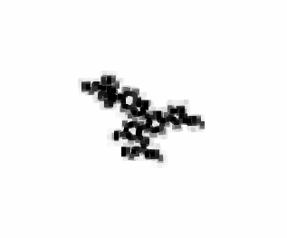 CC(C)Oc1cc(F)ccc1-c1ccc(-c2cnn(C)c2)nc1-c1cc2n(n1)CCN(C(=O)OC(C)(C)C)C2